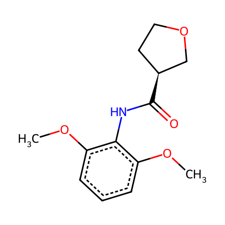 COc1cccc(OC)c1NC(=O)[C@H]1CCOC1